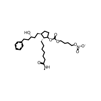 CNC(=O)CCCCCC[C@H]1C(OC(=O)OCCCCO[N+](=O)[O-])CC[C@@H]1CC[C@@H](O)CCc1ccccc1